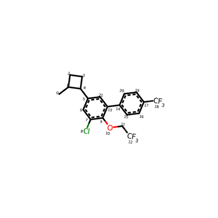 CC1CCC1c1cc(Cl)c(OCC(F)(F)F)c(-c2ccc(C(F)(F)F)cc2)c1